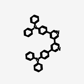 c1ccc(N(c2ccccc2)c2ccc(-c3cncc(-c4cncc(-c5ccc(N(c6ccccc6)c6ccccc6)cc5)c4)c3)cc2)cc1